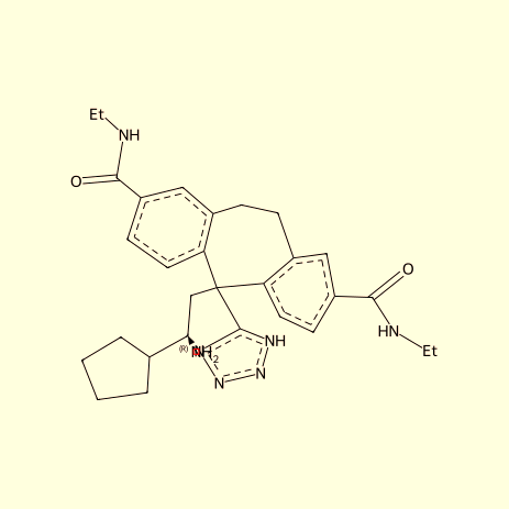 CCNC(=O)c1ccc2c(c1)CCc1cc(C(=O)NCC)ccc1C2(C[C@@H](N)C1CCCC1)c1nnn[nH]1